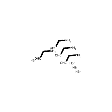 Br.Br.Br.Br.NCC=O.NCC=O.NCC=O.NCC=O